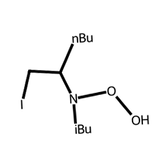 CCCCC(CI)N(OO)C(C)CC